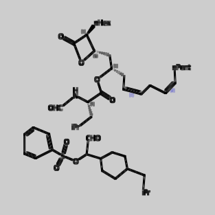 CC(C)CC1CCC(C(C=O)OS(=O)(=O)c2ccccc2)CC1.CCCCC/C=C\C/C=C\C[C@@H](C[C@@H]1OC(=O)[C@H]1CCCCCC)OC(=O)[C@H](CC(C)C)NC=O